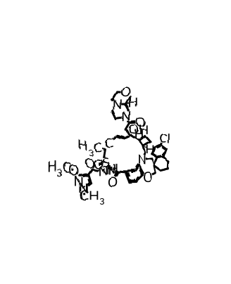 COc1nn(C)cc1C(=O)N[S@@]1(=O)=NC(=O)c2ccc3c(c2)N(C[C@@H]2CC[C@H]2[C@@](O)(CC(=O)N2CCN4CCOC[C@@H]4C2)/C=C/C[C@H](C)C1)C[C@@]1(CCCc2cc(Cl)ccc21)CO3